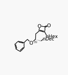 CCCCCCCCCCC[C@@H](CC1=C(CCCCCC)C(=O)O1)OCc1ccccc1